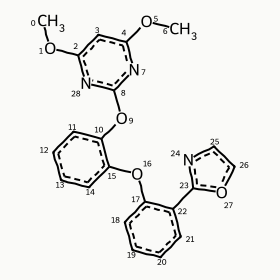 COc1cc(OC)nc(Oc2ccccc2Oc2ccccc2-c2ncco2)n1